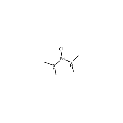 C[SH](C)[Pd]([Cl])[SH](C)C